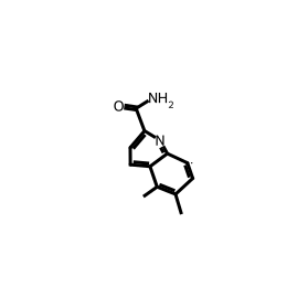 Cc1c[c]c2nc(C(N)=O)ccc2c1C